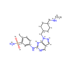 Cc1ccc(Nc2ncc3cnn(CC4CCC(CNC(=O)O)CC4)c3n2)cc1S(N)(=O)=O